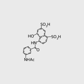 CC(=O)Nc1cccc(C(=O)Nc2ccc(S(=O)(=O)O)c3cc(S(=O)(=O)O)cc(O)c23)c1